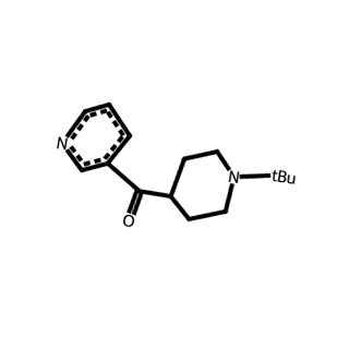 CC(C)(C)N1CCC(C(=O)c2cccnc2)CC1